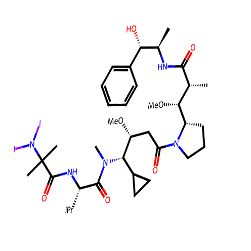 CO[C@H]([C@@H](C)C(=O)N[C@H](C)[C@@H](O)c1ccccc1)[C@@H]1CCCN1C(=O)C[C@@H](OC)[C@H](C1CC1)N(C)C(=O)[C@@H](NC(=O)C(C)(C)N(I)I)C(C)C